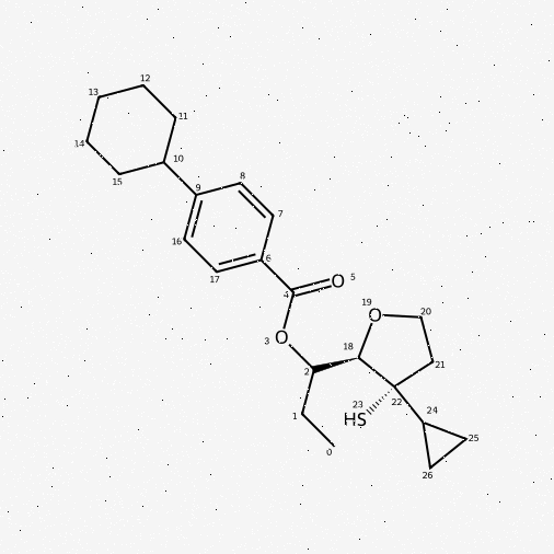 CCC(OC(=O)c1ccc(C2CCCCC2)cc1)[C@H]1OCC[C@@]1(S)C1CC1